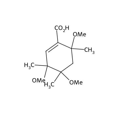 COC1(C)CC(C)(OC)C(C)(OC)C=C1C(=O)O